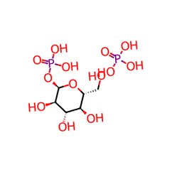 O=P(O)(O)O.O=P(O)(O)O[C@H]1O[C@H](CO)[C@@H](O)[C@H](O)[C@H]1O